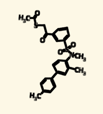 CC(=O)SCC(=O)c1cccc(S(=O)(=O)N(C)c2ccc(-c3ccc(C)cc3)cc2C)c1